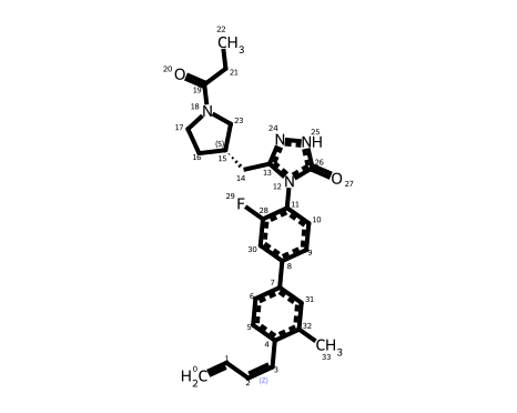 C=C/C=C\c1ccc(-c2ccc(-n3c(C[C@@H]4CCN(C(=O)CC)C4)n[nH]c3=O)c(F)c2)cc1C